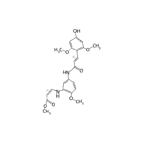 COC(=O)/C=C\Nc1cc(NC(=O)/C=C/c2c(OC)cc(O)cc2OC)ccc1OC